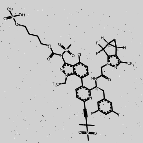 CC(C)(C#Cc1ccc(-c2ccc(Cl)c3c(N(C(=O)OCCCCOP(=O)(O)O)S(C)(=O)=O)nn(CC(F)(F)F)c23)c([C@H](Cc2cc(F)cc(F)c2)NC(=O)Cn2nc(C(F)(F)F)c3c2C(F)(F)[C@@H]2C[C@H]32)n1)S(C)(=O)=O